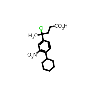 CC(Cl)(CCC(=O)O)c1ccc(C2CCCCC2)c([N+](=O)[O-])c1